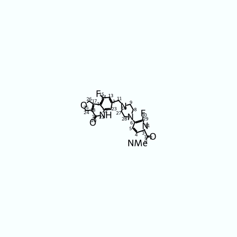 CNC(=O)c1ccc(N2CCN(Cc3cc(F)c4c5c(c(=O)[nH]c4c3)COC5)CC2)c(F)n1